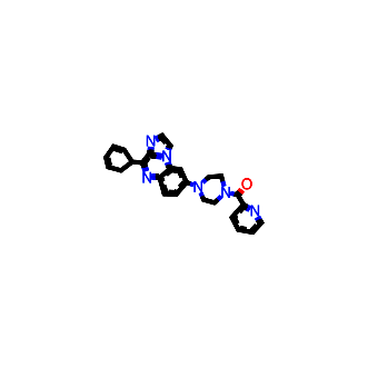 O=C(c1ccccn1)N1CCN(c2ccc3nc(C4C=CC=CC4)c4nccn4c3c2)CC1